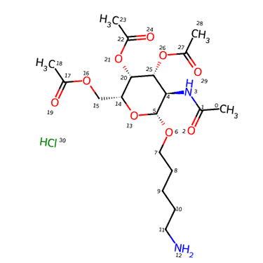 CC(=O)N[C@H]1[C@H](OCCCCCN)O[C@H](COC(C)=O)[C@H](OC(C)=O)[C@@H]1OC(C)=O.Cl